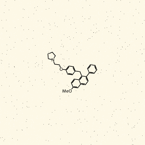 COc1ccc2c(Cc3ccc(OCCN4CCCC4)cc3)c(-c3ccccc3)ccc2c1